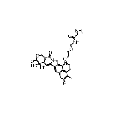 CC[C@@]1(O)C(=O)OCc2c1cc1n(c2=O)Cc2c-1cc1cc(F)c(C)c3c1c2N(OCCOCNC(=O)CN)CC3